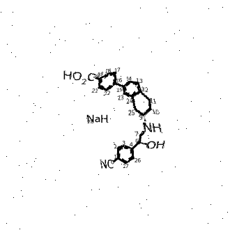 N#Cc1ccc([C@H](O)CN[C@H]2CCc3ccc(-c4ccc(C(=O)O)cc4)cc3C2)cc1.[NaH]